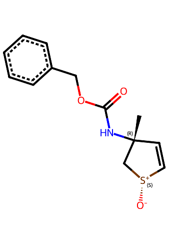 C[C@@]1(NC(=O)OCc2ccccc2)C=C[S@+]([O-])C1